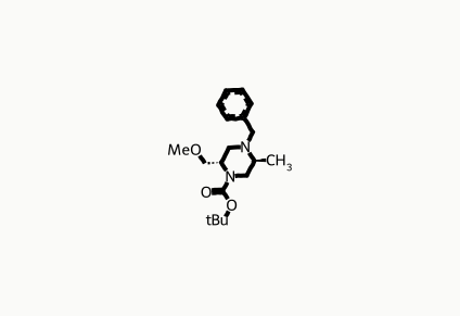 COC[C@@H]1CN(Cc2ccccc2)[C@@H](C)CN1C(=O)OC(C)(C)C